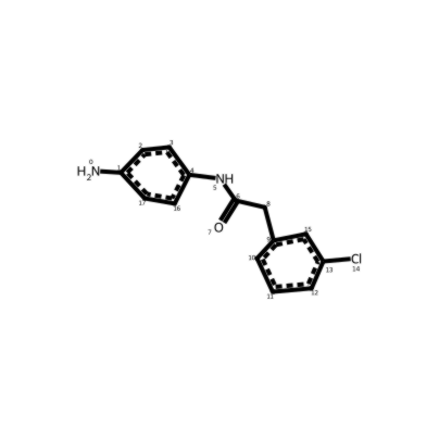 Nc1ccc(NC(=O)Cc2cccc(Cl)c2)cc1